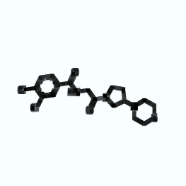 O=C(NCC(=O)N1CCC(N2CCSCC2)C1)c1ccc(Cl)c(Cl)c1